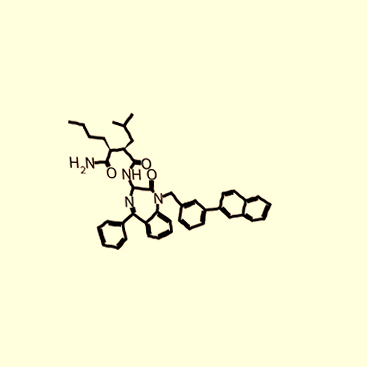 CCCC[C@H](C(N)=O)[C@@H](CC(C)C)C(=O)NC1N=C(c2ccccc2)c2ccccc2N(Cc2cccc(-c3ccc4ccccc4c3)c2)C1=O